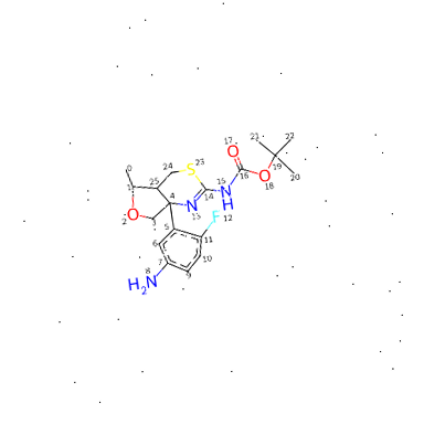 CC1OCC2(c3cc(N)ccc3F)N=C(NC(=O)OC(C)(C)C)SCC12